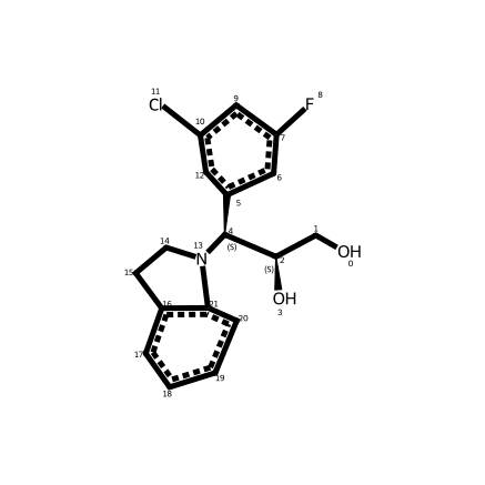 OC[C@@H](O)[C@H](c1cc(F)cc(Cl)c1)N1CCc2ccccc21